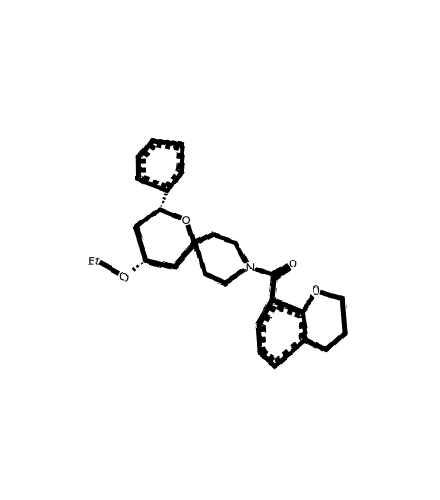 CCO[C@@H]1C[C@H](c2ccccc2)OC2(CCN(C(=O)c3cccc4c3OCCC4)CC2)C1